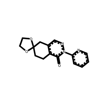 O=c1c2c(cnn1-c1ccccn1)CC1(CC2)OCCO1